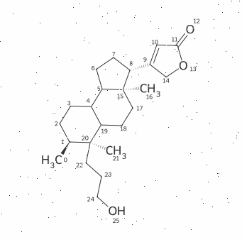 C[C@H]1CCC2C3CC[C@H](C4=CC(=O)OC4)[C@@]3(C)CCC2[C@@]1(C)CCCO